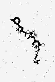 Cc1cccc(-c2cc(C(C)Oc3nnc(-c4cnn(COCC[Si](C)(C)C)c(=O)c4)n3C)no2)c1